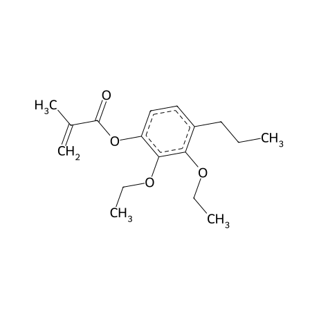 C=C(C)C(=O)Oc1ccc(CCC)c(OCC)c1OCC